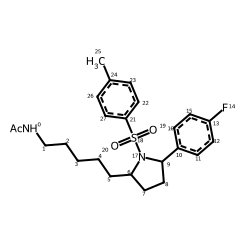 CC(=O)NCCCCCC1CCC(c2ccc(F)cc2)N1S(=O)(=O)c1ccc(C)cc1